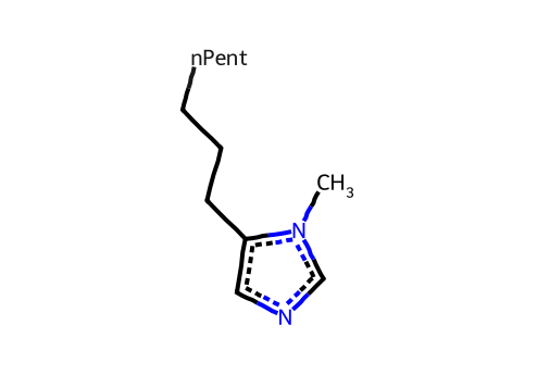 CCCCCCCCc1cncn1C